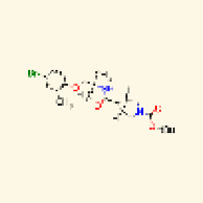 Cc1cc(Br)ccc1OCC(C)(C)NC(=O)[C@H]1[C@@H]2CN(C(=O)OC(C)(C)C)C[C@@H]21